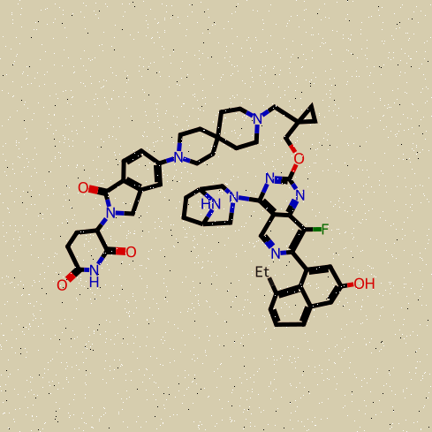 CCc1cccc2cc(O)cc(-c3ncc4c(N5CC6CCC(C5)N6)nc(OCC5(CN6CCC7(CC6)CCN(c6ccc8c(c6)CN(C6CCC(=O)NC6=O)C8=O)CC7)CC5)nc4c3F)c12